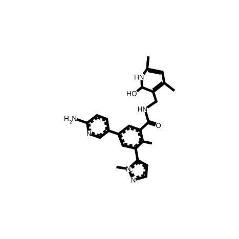 CC1=CC(C)=C(CNC(=O)c2cc(-c3ccc(N)nc3)cc(-c3ccnn3C)c2C)C(O)N1